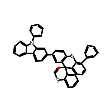 c1ccc(-c2cccc3c2Sc2ccc(-c4ccc5c6ccccc6n(-c6ccccc6)c5c4)cc2C32c3ccccc3Sc3ccccc32)cc1